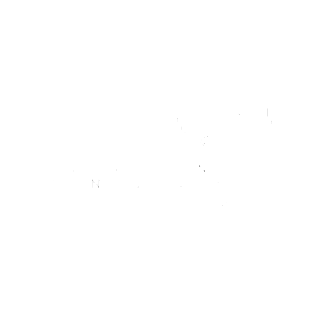 CCNCCCCN1C(=O)CC(CC)C1=O